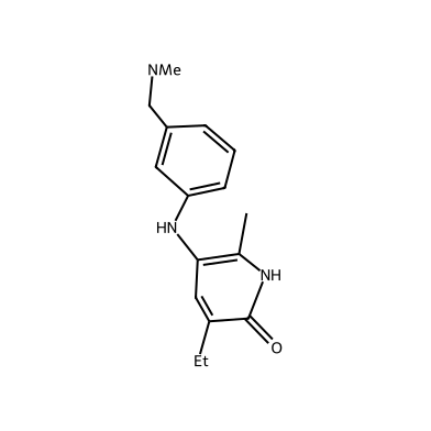 CCc1cc(Nc2cccc(CNC)c2)c(C)[nH]c1=O